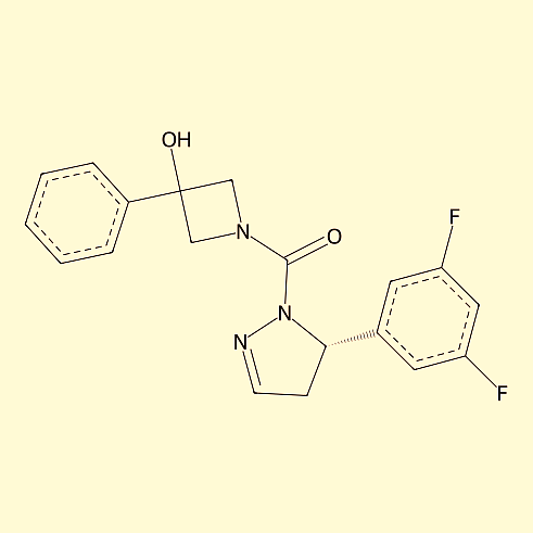 O=C(N1CC(O)(c2ccccc2)C1)N1N=CC[C@H]1c1cc(F)cc(F)c1